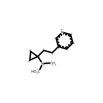 CN(C(=O)O)C1(CCc2cccnc2)CC1